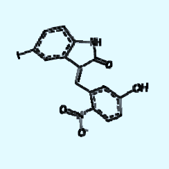 O=C1Nc2ccc(I)cc2C1=Cc1cc(O)ccc1[N+](=O)[O-]